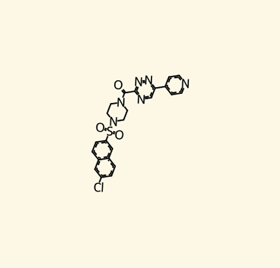 O=C(c1ncc(-c2ccncc2)nn1)N1CCN(S(=O)(=O)c2ccc3cc(Cl)ccc3c2)CC1